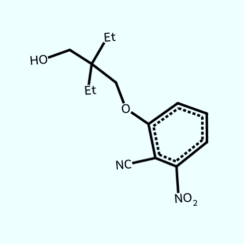 CCC(CC)(CO)COc1cccc([N+](=O)[O-])c1C#N